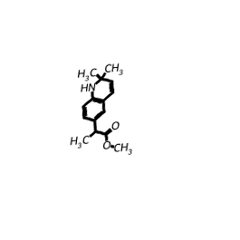 COC(=O)C(C)c1ccc2c(c1)C=CC(C)(C)N2